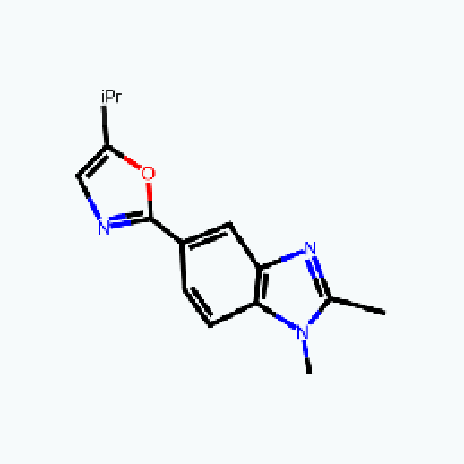 Cc1nc2cc(-c3ncc(C(C)C)o3)ccc2n1C